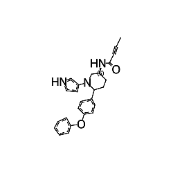 CC#CC(=O)N[C@H]1CCC(c2ccc(Oc3ccccc3)cc2)N(c2cc[nH]c2)C1